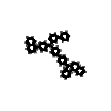 c1ccc(-c2cccc(N(c3ccc(-c4ccc(-n5c6ccccc6c6c7ccccc7ccc65)cc4)cc3)c3ccc(-c4cccc5ccccc45)cc3)c2)cc1